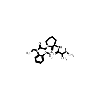 CCN(C(=O)CN1CCCCC(NC(=O)C(C)NC)C1=O)c1ccccc1OC